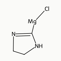 [Cl][Mg][C]1=NCCN1